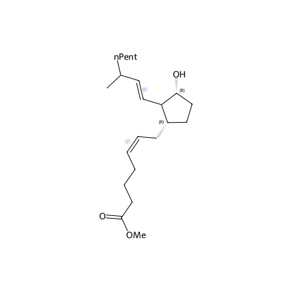 CCCCCC(C)/C=C/C1[C@@H](C/C=C\CCCC(=O)OC)CC[C@H]1O